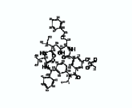 CCN(C(=O)c1cc(OS(C)(=O)=O)cc(C(=O)NC(COCc2ccccc2)C(O)CC(C(=O)NC(C(=O)NCc2ccccc2)C(C)C)C(C)C)c1)c1ccccc1